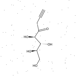 C#CCC(=O)[C@H](O)[C@H](O)[C@H](O)CO